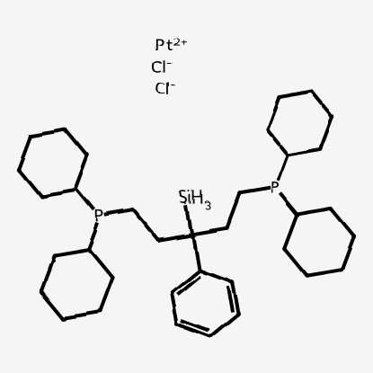 [Cl-].[Cl-].[Pt+2].[SiH3]C(CCP(C1CCCCC1)C1CCCCC1)(CCP(C1CCCCC1)C1CCCCC1)c1ccccc1